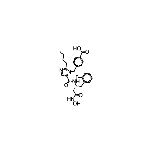 CCCCc1ncc(C(=O)N[C@@H](CC(=O)NO)Cc2ccccc2F)n1Cc1ccc(C(=O)O)cc1